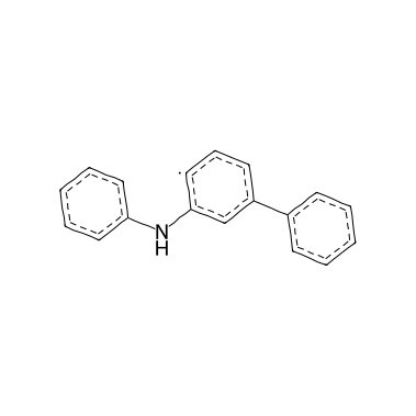 [c]1ccc(-c2ccccc2)cc1Nc1ccccc1